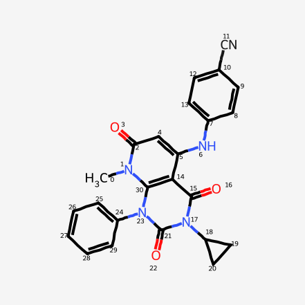 Cn1c(=O)cc(Nc2ccc(C#N)cc2)c2c(=O)n(C3CC3)c(=O)n(-c3ccccc3)c21